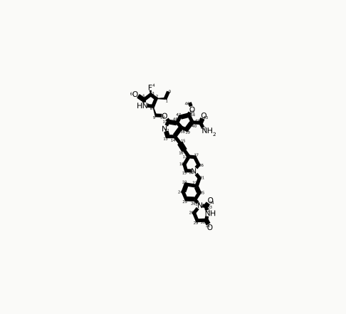 CC[C@@H]1[C@H](F)C(=O)N[C@@H]1COc1ncc(C#CC2CCN(Cc3cccc(N4CCC(=O)NC4=O)c3)CC2)c2cc(C(N)=O)c(OC)cc12